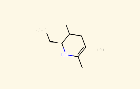 CC[C@H](C)C1=C(C)N[C@@H](COC)C(C(C)C)C1